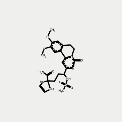 COc1cc2c(cc1OC)-c1cc(C(CCC3(C(N)=O)NC=CN3)NS(C)(=O)=O)nc(=O)n1CC2